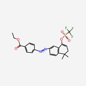 CCOC(=O)c1ccc(/N=N/c2ccc3c(c2)C(OS(=O)(=O)C(F)(F)F)=CCC3(C)C)cc1